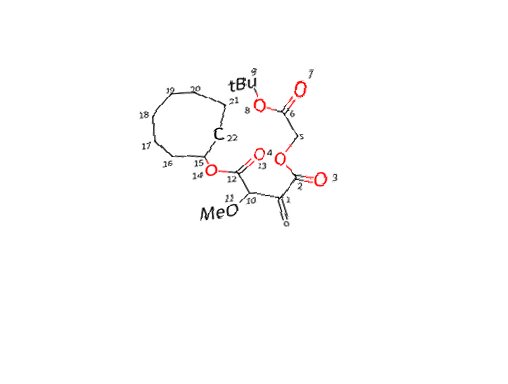 C=C(C(=O)OCC(=O)OC(C)(C)C)C(OC)C(=O)OC1CCCCCCC1